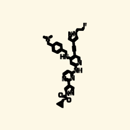 CN(C)Cc1ccc(CNc2cc(Nc3ccnc(-c4cnn(S(=O)(=O)C5CC5)c4)n3)ncc2C#Cc2cnn(CCF)c2)cc1